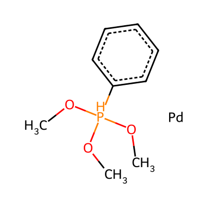 CO[PH](OC)(OC)c1ccccc1.[Pd]